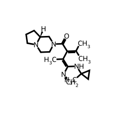 C=N/C(NC1(C)CC1)=C(\C)C(C(=O)N1CCN2CCC[C@@H]2C1)=C(C)C